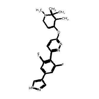 CC1C(Oc2ccc(-c3c(F)cc(-c4cn[nH]c4)cc3F)nn2)CCN(C)C1(C)C